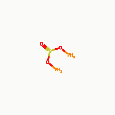 O=S(OP)OP